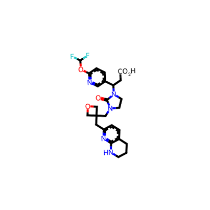 O=C(O)CC(c1ccc(OC(F)F)nc1)N1CCN(CC2(Cc3ccc4c(n3)NCCC4)COC2)C1=O